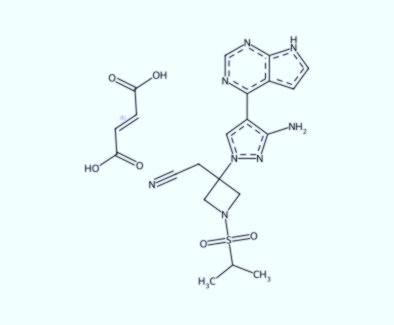 CC(C)S(=O)(=O)N1CC(CC#N)(n2cc(-c3ncnc4[nH]ccc34)c(N)n2)C1.O=C(O)/C=C/C(=O)O